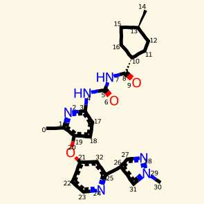 Cc1nc(NC(=O)NC(=O)[C@H]2CC[C@H](C)CC2)ccc1Oc1ccnc(-c2cnn(C)c2)c1